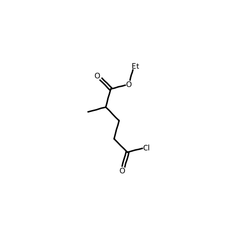 CCOC(=O)C(C)CCC(=O)Cl